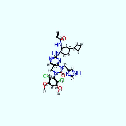 C=CC(=O)N[C@H]1CC(C2CCC2)CC[C@H]1Nc1ncc2c(n1)N(Cc1c[nH]cn1)C(=O)N(c1c(Cl)c(OC)cc(OC)c1Cl)C2